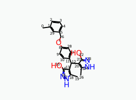 Cc1cccc(COc2ccc(C(c3c(O)n[nH]c3C)c3c(O)n[nH]c3C)cc2)c1